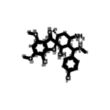 CNC(c1ccc(Cl)cc1)C1C(N)C[C@@H](C)[C@]2(Oc3c(Cl)c(OC)cc(OC)c3C2=O)C1O